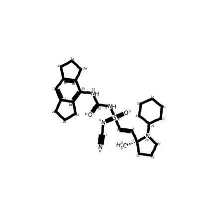 C[C@@]1(/C=C/S(=O)(=NC#N)NC(=O)Nc2c3c(cc4c2CCC4)CCC3)CCCN1C1CCCCC1